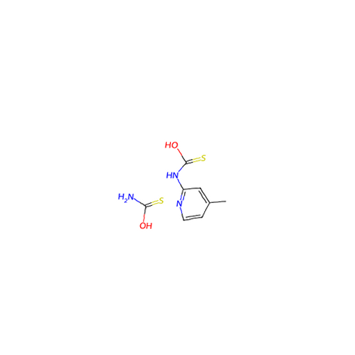 Cc1ccnc(NC(O)=S)c1.NC(O)=S